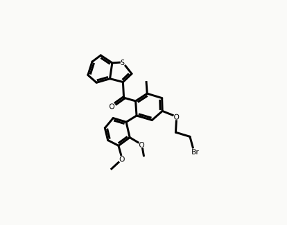 COc1cccc(-c2cc(OCCBr)cc(C)c2C(=O)c2csc3ccccc23)c1OC